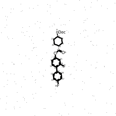 CCCCCCCCCC[C@H]1CC[C@H](C(=O)Oc2ccc(-c3ccc(F)cc3)c(F)c2)CC1